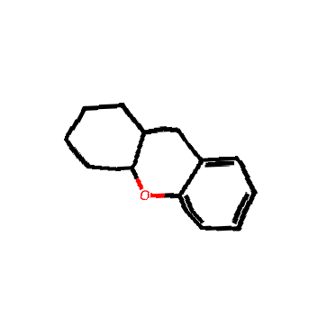 c1ccc2c(c1)CC1CCCCC1O2